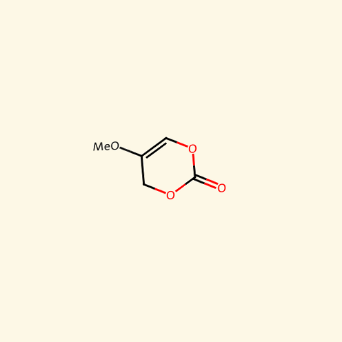 COC1=COC(=O)OC1